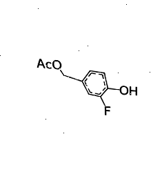 CC(=O)OCc1ccc(O)c(F)c1